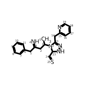 CC(CC(=N)Cc1ccccc1)N1C(Cc2ccccn2)=NNC1C=S